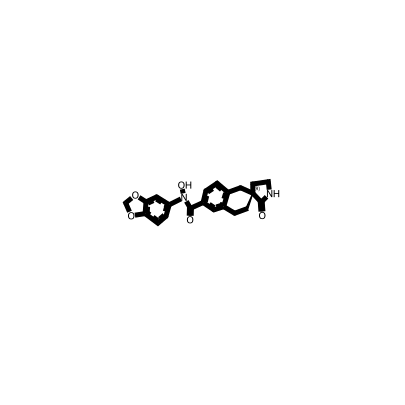 O=C(c1ccc2c(c1)CC[C@]1(CCNC1=O)C2)N(O)c1ccc2c(c1)OCO2